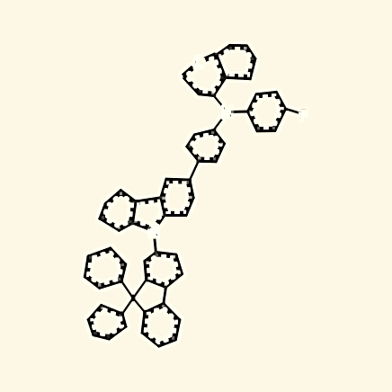 Fc1ccc(N(c2ccc(-c3ccc4c(c3)c3ccccc3n4-c3ccc4c(c3)C(c3ccccc3)(c3ccccc3)c3ccccc3-4)cc2)c2cccc3ccccc23)cc1